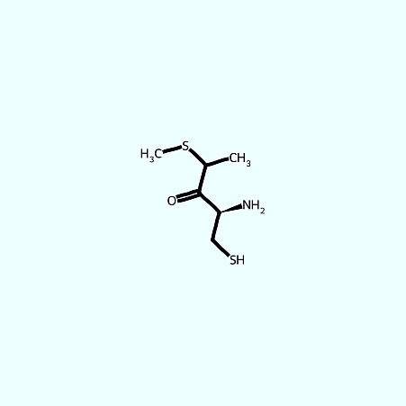 CSC(C)C(=O)[C@@H](N)CS